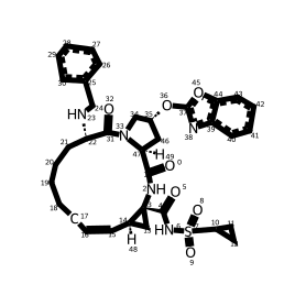 O=C1N[C@]2(C(=O)NS(=O)(=O)C3CC3)C[C@H]2/C=C\CCCCC[C@H](NCc2ccccc2)C(=O)N2C[C@H](Oc3nc4ccccc4o3)C[C@@H]12